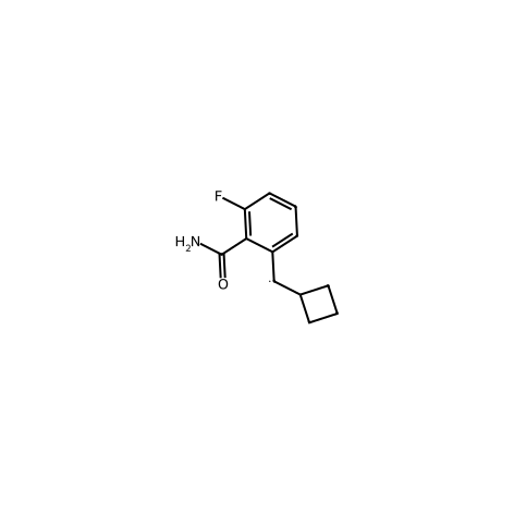 NC(=O)c1c(F)cccc1[CH]C1CCC1